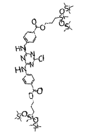 C[Si](C)(C)O[Si](C)(CCCOC(=O)c1ccc(Nc2nc(Cl)nc(Nc3ccc(C(=O)OCCC[Si](C)(O[Si](C)(C)C)O[Si](C)(C)C)cc3)n2)cc1)O[Si](C)(C)C